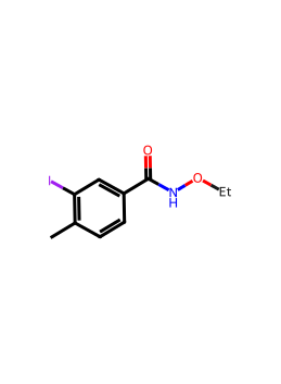 CCONC(=O)c1ccc(C)c(I)c1